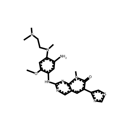 COc1cc(N(C)CCN(C)C)c(N)cc1Nc1ncc2cc(-c3cscn3)c(=O)n(C)c2n1